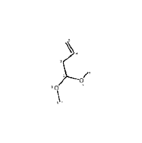 [CH2]OC(CC=C)O[CH2]